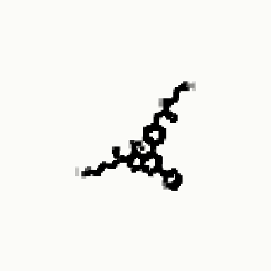 CCCC[S+]([O-])c1sc2nc(-c3nccs3)cc(-c3ccc(CC(=O)NCCO)cc3)c2c1N